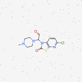 CN1CCN(C(C=O)n2c(=O)sc3nc(Cl)ccc32)CC1